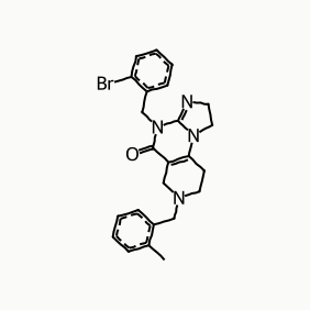 Cc1ccccc1CN1CCC2=C(C1)C(=O)N(Cc1ccccc1Br)C1=NCCN12